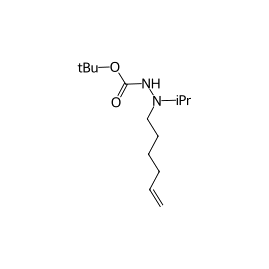 C=CCCCCN(NC(=O)OC(C)(C)C)C(C)C